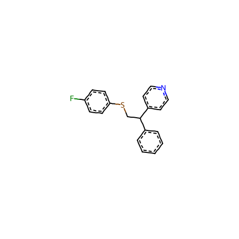 Fc1ccc(SCC(c2ccccc2)c2ccncc2)cc1